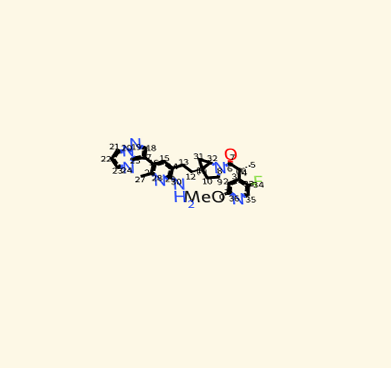 COc1cc([C@@H](C)C(=O)N2CC[C@]3(CCc4cc(-c5cnn6cccnc56)c(C)nc4N)CC23)c(F)cn1